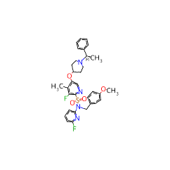 COc1ccc(CN(c2cccc(F)n2)S(=O)(=O)c2ncc(OC3CCN([C@H](C)c4ccccc4)CC3)c(C)c2F)cc1